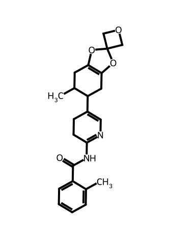 Cc1ccccc1C(=O)NC1=NC=C(C2CC3=C(CC2C)OC2(COC2)O3)CC1